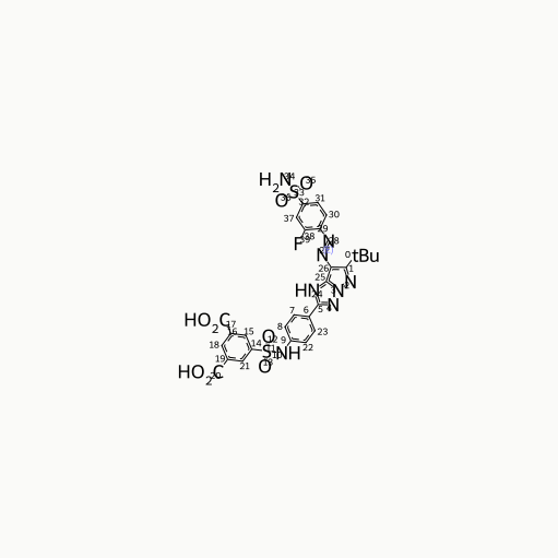 CC(C)(C)c1nn2nc(-c3ccc(NS(=O)(=O)c4cc(C(=O)O)cc(C(=O)O)c4)cc3)[nH]c2c1/N=N/c1ccc(S(N)(=O)=O)cc1F